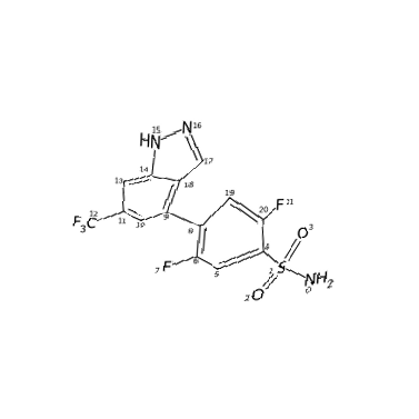 NS(=O)(=O)c1cc(F)c(-c2cc(C(F)(F)F)cc3[nH]ncc23)cc1F